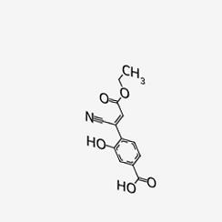 CCOC(=O)C=C(C#N)c1ccc(C(=O)O)cc1O